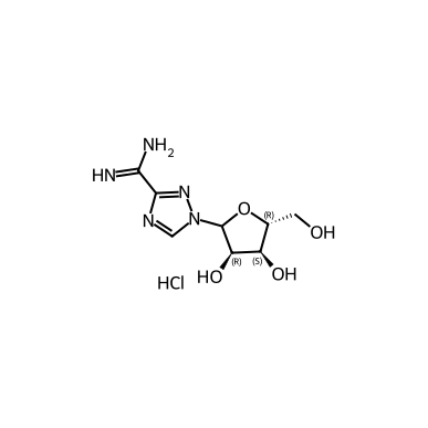 Cl.N=C(N)c1ncn(C2O[C@H](CO)[C@@H](O)[C@H]2O)n1